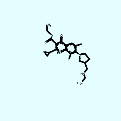 CCNCC1CCN(c2c(F)cc3c(=O)c(C(=O)OCC)c(C4CC4)[nH]c3c2F)C1